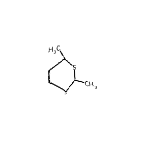 CC1[C]CCC(C)S1